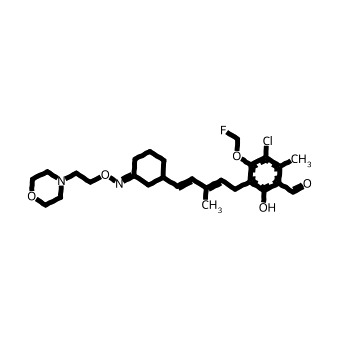 CC(/C=C/C1CCC/C(=N\OCCN2CCOCC2)C1)=C\Cc1c(O)c(C=O)c(C)c(Cl)c1OCF